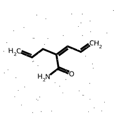 C=CC=C(CC=C)C(N)=O